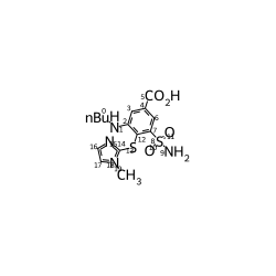 CCCCNc1cc(C(=O)O)cc(S(N)(=O)=O)c1Sc1nccn1C